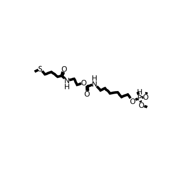 CO[PH](C)(OC)OCCCCCCNC(=O)OCCNC(=O)CCCSC